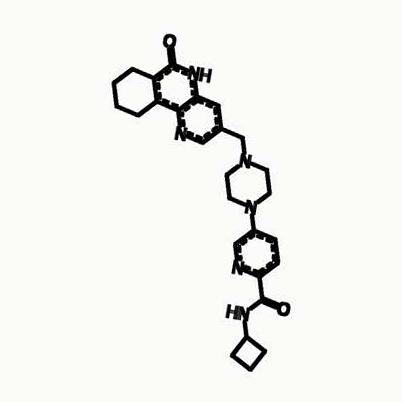 O=C(NC1CCC1)c1ccc(N2CCN(Cc3cnc4c5c(c(=O)[nH]c4c3)CCCC5)CC2)cn1